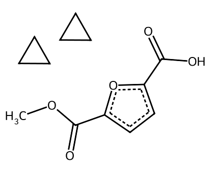 C1CC1.C1CC1.COC(=O)c1ccc(C(=O)O)o1